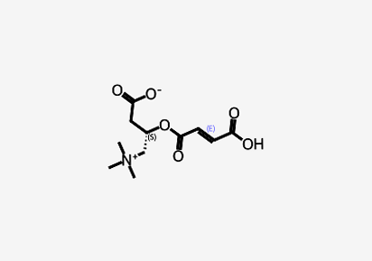 C[N+](C)(C)C[C@H](CC(=O)[O-])OC(=O)/C=C/C(=O)O